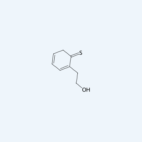 OCCC1=CC=CCC1=S